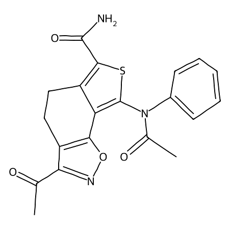 CC(=O)c1noc2c1CCc1c(C(N)=O)sc(N(C(C)=O)c3ccccc3)c1-2